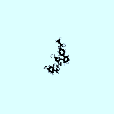 CC(OC(=O)Nc1cc(Cl)sc1-c1ccccc1-c1ccc(OC(=O)C2CC2)cc1)c1ccc(F)cc1F